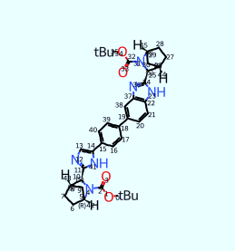 CC(C)(C)OC(=O)N1[C@@H]2CC[C@@H](C2)[C@H]1c1ncc(-c2ccc(-c3ccc4[nH]c([C@@H]5[C@H]6CC[C@H](C6)N5C(=O)OC(C)(C)C)nc4c3)cc2)[nH]1